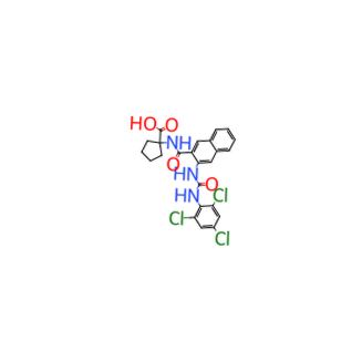 O=C(Nc1cc2ccccc2cc1C(=O)NC1(C(=O)O)CCCC1)Nc1c(Cl)cc(Cl)cc1Cl